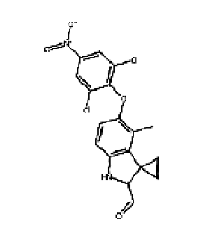 Cc1c(Oc2c(Cl)cc([N+](=O)[O-])cc2Cl)ccc2c1C1(CC1)C(C=O)N2